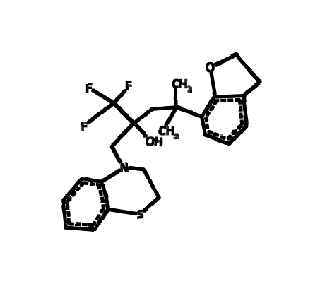 CC(C)(CC(O)(CN1CCSc2ccccc21)C(F)(F)F)c1cccc2c1OCC2